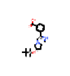 CN[C@H](CN1CC[C@H](O[Si](C)(C)C(C)(C)C)C1)c1cccc(C(=O)O)c1